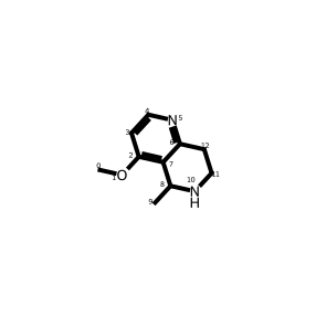 COc1ccnc2c1C(C)NCC2